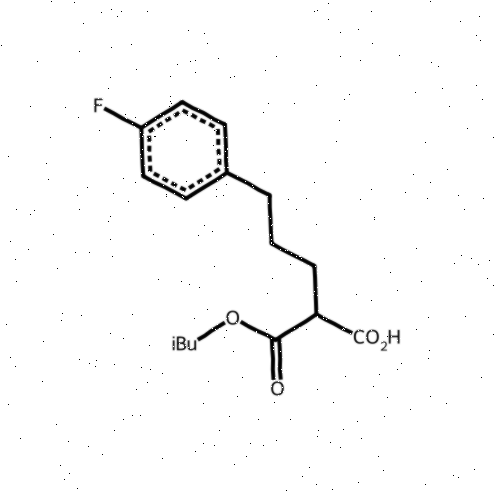 CCC(C)OC(=O)C(CCCc1ccc(F)cc1)C(=O)O